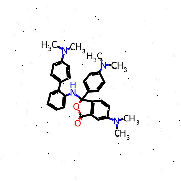 CN(C)c1ccc(-c2ccccc2NC2(c3ccc(N(C)C)cc3)OC(=O)c3cc(N(C)C)ccc32)cc1